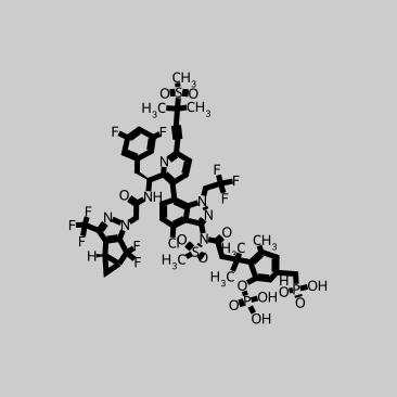 Cc1cc(CP(=O)(O)O)cc(OP(=O)(O)O)c1C(C)(C)CC(=O)N(c1nn(CC(F)(F)F)c2c(-c3ccc(C#CC(C)(C)S(C)(=O)=O)nc3[C@H](Cc3cc(F)cc(F)c3)NC(=O)Cn3nc(C(F)(F)F)c4c3C(F)(F)C3C[C@H]43)ccc(Cl)c12)S(C)(=O)=O